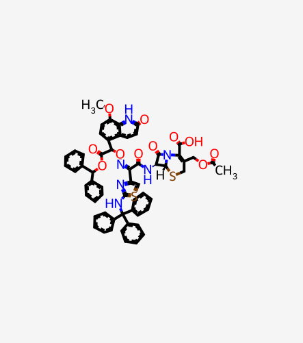 COc1ccc(C(O/N=C(\C(=O)N[C@@H]2C(=O)N3C(C(=O)O)=C(COC(C)=O)CS[C@H]23)c2csc(NC(c3ccccc3)(c3ccccc3)c3ccccc3)n2)C(=O)OC(c2ccccc2)c2ccccc2)c2ccc(=O)[nH]c12